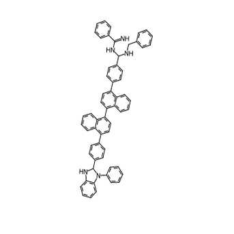 N=C(NC(NCc1ccccc1)c1ccc(-c2ccc(-c3ccc(-c4ccc(C5Nc6ccccc6N5c5ccccc5)cc4)c4ccccc34)c3ccccc23)cc1)c1ccccc1